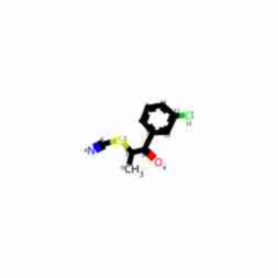 CC(SC#N)C(=O)c1cccc(Cl)c1